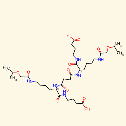 CC(C)OCC(=O)NCCCC[C@H](NC(=O)CCC(=O)N[C@@H](CCCCNC(=O)COC(C)C)C(=O)NCCCC(=O)O)C(=O)NCCCC(=O)O